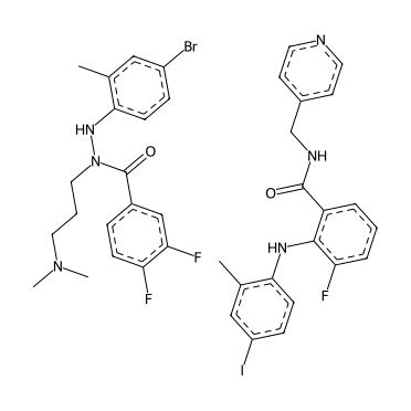 Cc1cc(Br)ccc1NN(CCCN(C)C)C(=O)c1ccc(F)c(F)c1.Cc1cc(I)ccc1Nc1c(F)cccc1C(=O)NCc1ccncc1